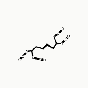 O=C=NC(CCCCC(N=C=O)N=C=O)N=C=O